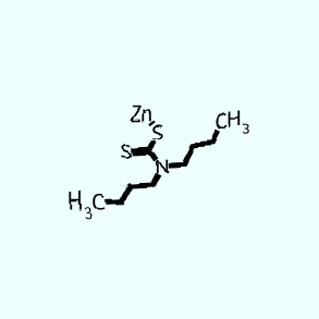 CCCCN(CCCC)C(=S)[S][Zn]